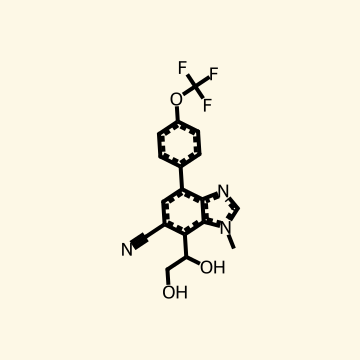 Cn1cnc2c(-c3ccc(OC(F)(F)F)cc3)cc(C#N)c(C(O)CO)c21